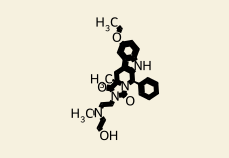 CCOc1ccc2[nH]c3c(c2c1)C[C@@]1(C)C(=O)N(CCN(C)CCO)C(=O)N1[C@@H]3C1=CCCC=C1